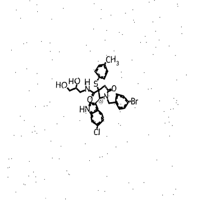 Cc1ccc(SC2(C(=O)NCC(O)CO)CC(=O)N(Cc3ccc(Br)cc3)[C@H]2c2c[nH]c3cc(Cl)ccc23)cc1